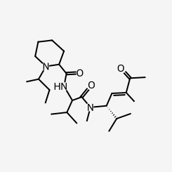 CCC(C)N1CCCCC1C(=O)NC(C(=O)N(C)[C@H](/C=C(\C)C(C)=O)C(C)C)C(C)C